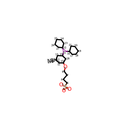 B.O=S(=O)([O-])CCCCOC1CCCC(P(C2CCCCC2)C2CCCCC2)C1.[Na+]